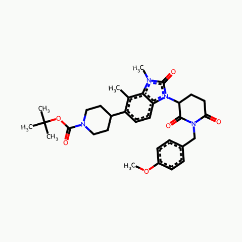 COc1ccc(CN2C(=O)CCC(n3c(=O)n(C)c4c(C)c(C5CCN(C(=O)OC(C)(C)C)CC5)ccc43)C2=O)cc1